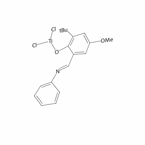 COc1cc(C=Nc2ccccc2)c([O][Ti]([Cl])[Cl])c(C(C)(C)C)c1